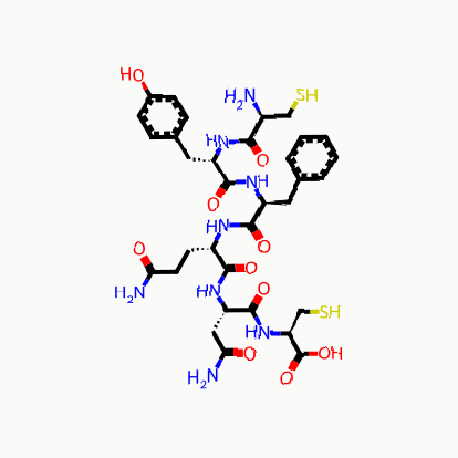 NC(=O)CC[C@H](NC(=O)[C@H](Cc1ccccc1)NC(=O)[C@H](Cc1ccc(O)cc1)NC(=O)[C@@H](N)CS)C(=O)N[C@@H](CC(N)=O)C(=O)N[C@@H](CS)C(=O)O